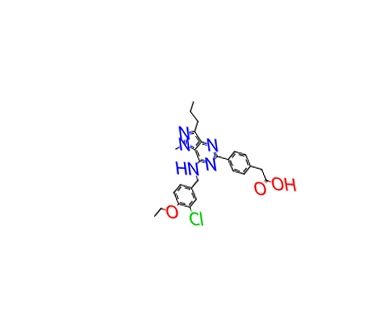 CCCc1nn(C)c2c(NCc3ccc(OCC)c(Cl)c3)nc(-c3ccc(CC(=O)O)cc3)nc12